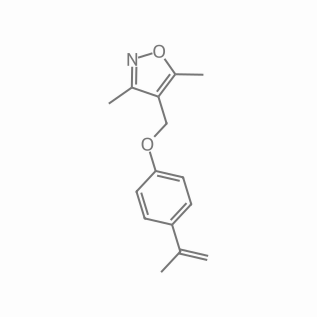 C=C(C)c1ccc(OCc2c(C)noc2C)cc1